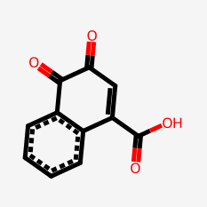 O=C(O)C1=CC(=O)C(=O)c2ccccc21